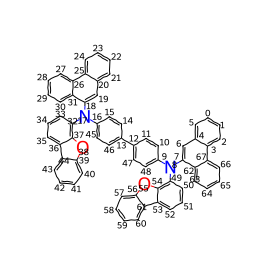 c1ccc2c(c1)cc(N(c1ccc(-c3ccc(N(c4cc5ccccc5c5ccccc45)c4cccc5c4oc4ccccc45)cc3)cc1)c1cccc3c1oc1ccccc13)c1ccccc12